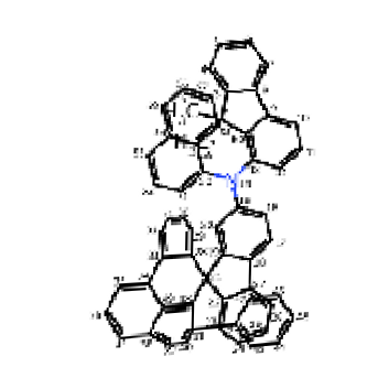 CC1(C)c2ccccc2-c2cccc(N(c3ccc4c(c3)C3(c5ccccc5-4)c4ccccc4-c4cccc5ccc(-c6ccccc6)c3c45)c3cccc4ccccc34)c21